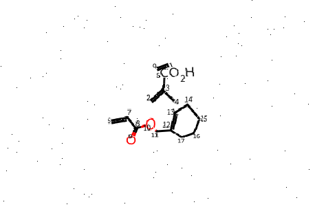 C=C.C=C(C)C(=O)O.C=CC(=O)OCC1=CCCCC1